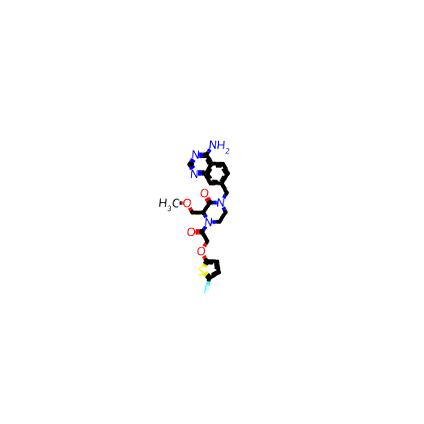 COCC1C(=O)N(Cc2ccc3c(N)ncnc3c2)CCN1C(=O)COc1ccc(F)s1